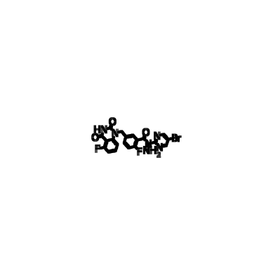 NN(C(=O)c1cc(Cn2c(=O)[nH]c(=O)c3c(F)cccc32)ccc1F)c1ncc(Br)cn1